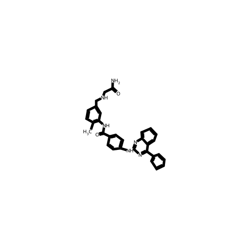 Cc1ccc(CNCC(N)=O)cc1NC(=O)c1ccc(Nc2nc(-c3ccccc3)c3ccccc3n2)cc1